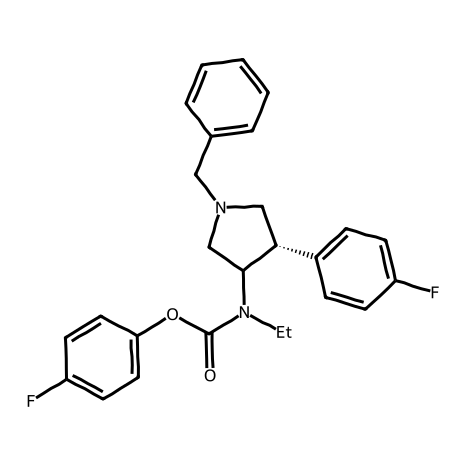 CCN(C(=O)Oc1ccc(F)cc1)C1CN(Cc2ccccc2)C[C@@H]1c1ccc(F)cc1